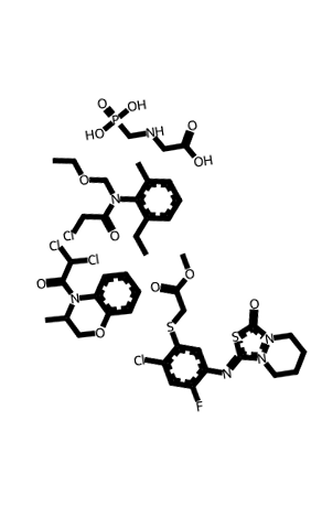 CC1COc2ccccc2N1C(=O)C(Cl)Cl.CCOCN(C(=O)CCl)c1c(C)cccc1CC.COC(=O)CSc1cc(/N=c2\sc(=O)n3n2CCCC3)c(F)cc1Cl.O=C(O)CNCP(=O)(O)O